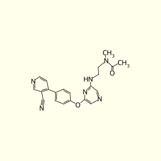 CC(=O)N(C)CCNc1cncc(Oc2ccc(-c3ccncc3C#N)cc2)n1